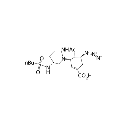 CCCCS(=O)(=O)N[C@@H]1CCCN([C@@H]2C=C(C(=O)O)C[C@H](N=[N+]=[N-])[C@H]2NC(C)=O)C1